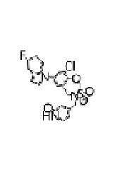 O=c1cc(CN2Cc3cc(-n4ccc5cc(F)ccc54)cc(Cl)c3OCS2(=O)=O)cc[nH]1